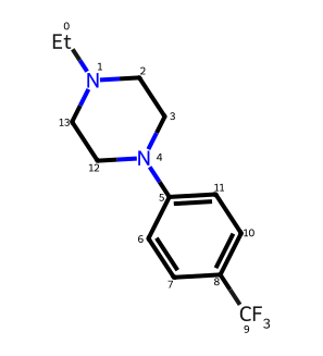 [CH2]CN1CCN(c2ccc(C(F)(F)F)cc2)CC1